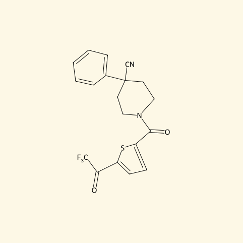 N#CC1(c2ccccc2)CCN(C(=O)c2ccc(C(=O)C(F)(F)F)s2)CC1